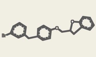 Brc1cccc(Cc2ccc(OCC3Cc4ccccc4O3)cc2)c1